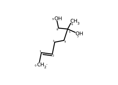 [CH2]C=CCCC(C)(O)CO